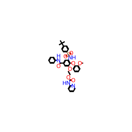 COc1ccccc1Oc1c(NS(=O)(=O)c2ccc(C(C)(C)C)cc2)cc(C(=O)Nc2ccccc2)cc1OCCOC(=O)Nc1ccccn1